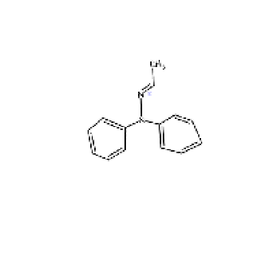 C/C=N/N(c1ccccc1)c1ccccc1